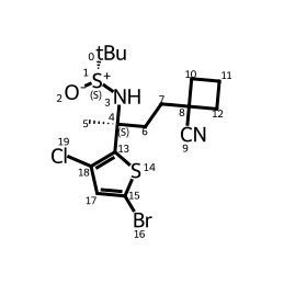 CC(C)(C)[S@@+]([O-])N[C@@](C)(CCC1(C#N)CCC1)c1sc(Br)cc1Cl